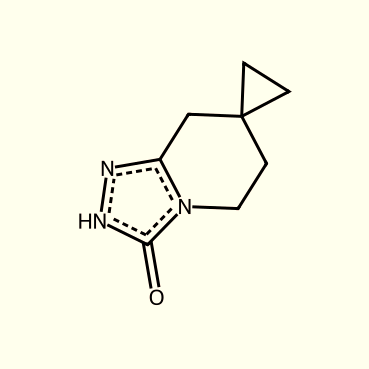 O=c1[nH]nc2n1CCC1(CC1)C2